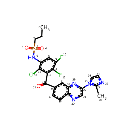 CCCS(=O)(=O)Nc1cc(F)c(F)c(C(=O)c2ccc3ncc(-n4ccnc4C)nc3c2)c1Cl